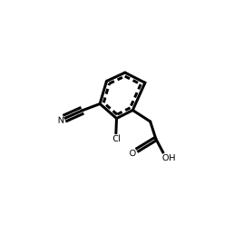 N#Cc1cccc(CC(=O)O)c1Cl